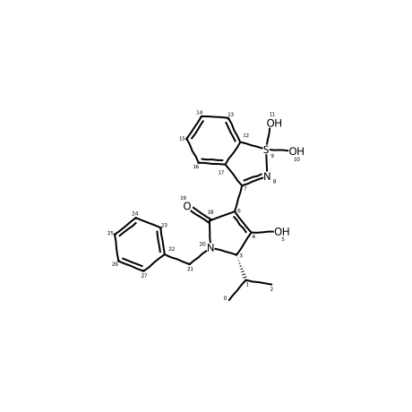 CC(C)[C@H]1C(O)=C(C2=NS(O)(O)c3ccccc32)C(=O)N1Cc1ccccc1